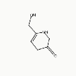 O=C1CC=C(CO)NC1